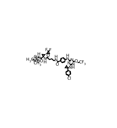 CN(C)S(=O)(=O)NC(=O)[C@@]1(NC(=O)CCCNC(=O)c2ccc(Nc3nc(NC4(c5ccc(Cl)cc5)CC4)nc(OCC(F)(F)F)n3)cc2)C[C@H]1C1CC1(F)F